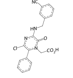 N#Cc1cccc(CNc2nc(Cl)c(-c3ccccc3)n(CC(=O)O)c2=O)c1